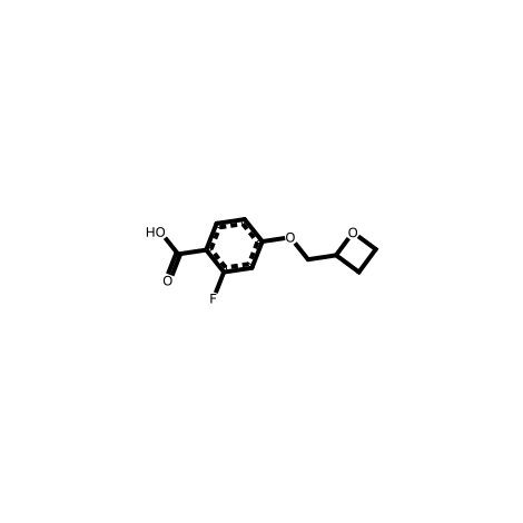 O=C(O)c1ccc(OCC2CCO2)cc1F